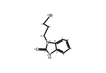 O=c1[nH]c2ccccc2n1CCCBr